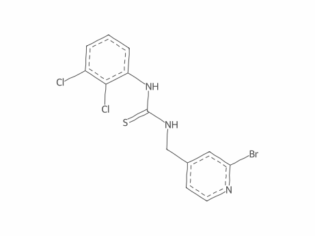 S=C(NCc1ccnc(Br)c1)Nc1cccc(Cl)c1Cl